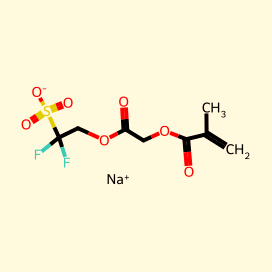 C=C(C)C(=O)OCC(=O)OCC(F)(F)S(=O)(=O)[O-].[Na+]